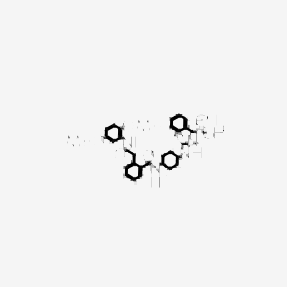 COc1ccc(OC)c(NC(=O)Cc2ccccc2C(=O)N[C@H]2CC[C@@H](Nc3nc(N(C)C)c4ccccc4n3)CC2)c1